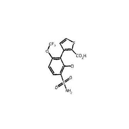 NS(=O)(=O)c1ccc(OC(F)(F)F)c(-c2ccsc2C(=O)O)c1Cl